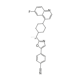 C[C@@H](c1ncc(-c2ccc(C#N)cc2)o1)C1CCC(c2ccnc3ccc(F)cc23)CC1